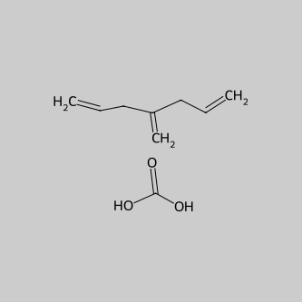 C=CCC(=C)CC=C.O=C(O)O